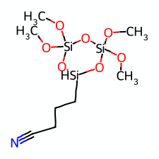 CO[Si]1(OC)O[SiH](CCCC#N)O[Si](OC)(OC)O1